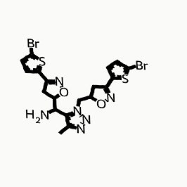 Cc1nnn(CC2CC(c3ccc(Br)s3)=NO2)c1C(N)C1CC(c2ccc(Br)s2)=NO1